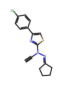 C#CN(N=C1CCCC1)c1nc(-c2ccc(Cl)cc2)cs1